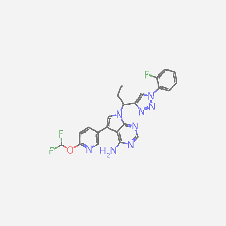 CCC(c1cn(-c2ccccc2F)nn1)n1cc(-c2ccc(OC(F)F)nc2)c2c(N)ncnc21